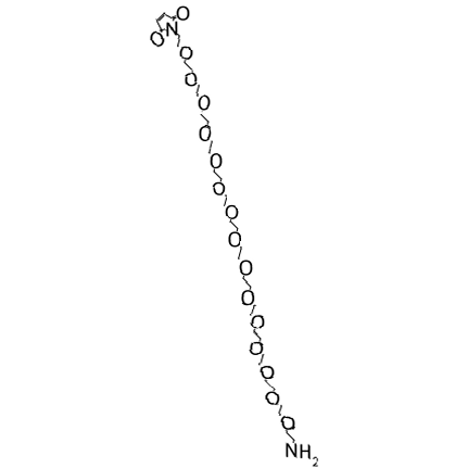 NCCOCCOCCOCCOCCOCCOCCOCCOCCOCCOCCOCCOCCOCCOCCOCCN1C(=O)C=CC1=O